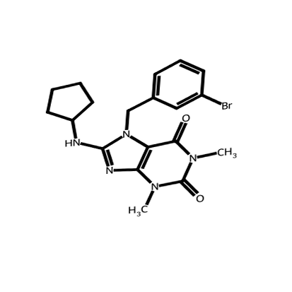 Cn1c(=O)c2c(nc(NC3CCCC3)n2Cc2cccc(Br)c2)n(C)c1=O